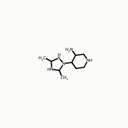 CC1NC(C)N(C2CCNCC2N)N1